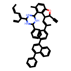 C#CC1Oc2ccc(C)c(C3NC(/C(C=C)=C/C=C\C)NC(c4ccccc4)N3)c2C1/C=C(\C)c1ccc(-c2ccc(-c3ccccc3)c3ccccc23)cc1